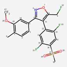 Cc1ccc(-c2noc(CF)c2-c2cc(F)c(S(C)(=O)=O)cc2F)cc1OC(F)(F)F